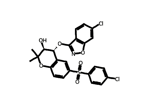 CC1(C)Oc2ccc(S(=O)(=O)c3ccc(Cl)cc3)cc2[C@@H](Oc2noc3cc(Cl)ccc23)[C@@H]1O